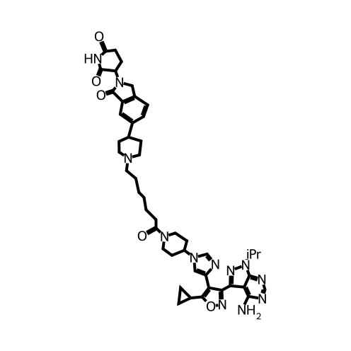 CC(C)n1nc(-c2noc(C3CC3)c2-c2cn(C3CCN(C(=O)CCCCCCN4CCC(c5ccc6c(c5)C(=O)N(C5CCC(=O)NC5=O)C6)CC4)CC3)cn2)c2c(N)ncnc21